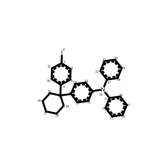 Ic1ccc(C2(c3ccc(N(c4ccccc4)c4ccccc4)cc3)CCCCC2)cc1